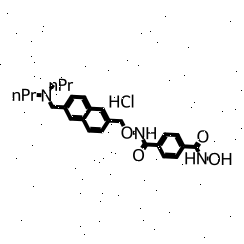 CCCN(CCC)Cc1ccc2cc(CONC(=O)c3ccc(C(=O)NO)cc3)ccc2c1.Cl